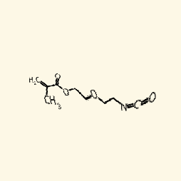 C=C(C)C(=O)OCCOCCN=C=O